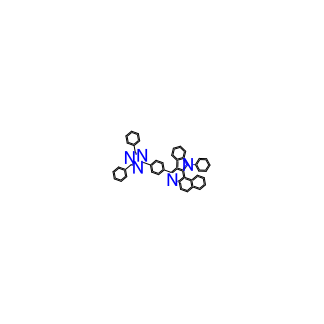 c1ccc(-c2nc(-c3ccccc3)nc(-c3ccc(-c4nc5ccc6ccccc6c5c5c4c4ccccc4n5-c4ccccc4)cc3)n2)cc1